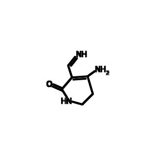 N=CC1=C(N)CCNC1=O